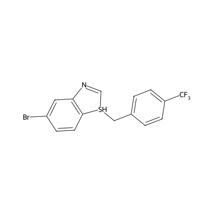 FC(F)(F)c1ccc(C[SH]2C=Nc3cc(Br)ccc32)cc1